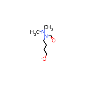 CN(C)N(C=O)CCCC[O]